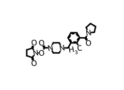 Cc1c(CN2CCN(C(=O)ON3C(=O)CCC3=O)CC2)cccc1C(=O)N1CCCC1